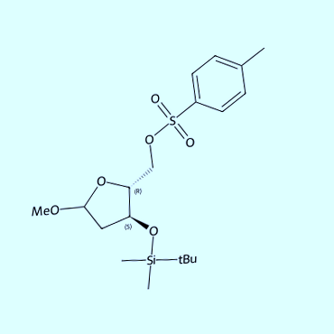 COC1C[C@H](O[Si](C)(C)C(C)(C)C)[C@@H](COS(=O)(=O)c2ccc(C)cc2)O1